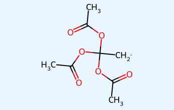 [CH2]C(OC(C)=O)(OC(C)=O)OC(C)=O